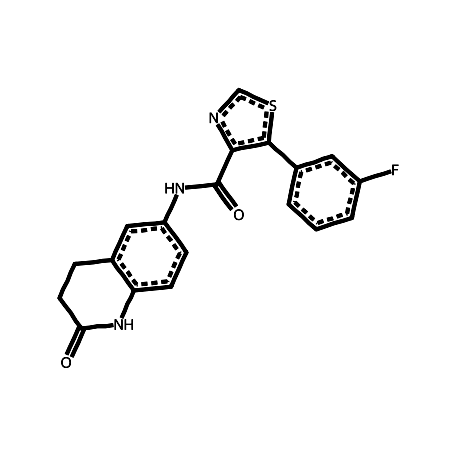 O=C1CCc2cc(NC(=O)c3ncsc3-c3cccc(F)c3)ccc2N1